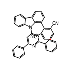 N#Cc1cccc(C#N)c1-c1cccc2c3ccccc3n(-c3cc(-c4ccccc4)nc(-c4ccccc4)n3)c12